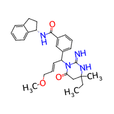 CCC1(C)CC(=O)N(C(/C=C/COC)c2cccc(C(=O)N[C@H]3CCc4ccccc43)c2)C(=N)N1